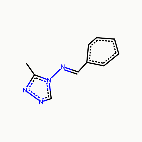 Cc1nncn1N=Cc1ccccc1